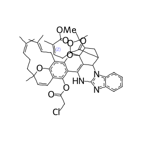 COC(=O)/C(C)=C\CC12OC(C)(C)C3CC(C1=O)C1C4=C(Nc5nc6ccccc6n51)c1c(OC(=O)CCl)c5c(c(CC=C(C)C)c1OC432)OC(C)(CCC=C(C)C)C=C5